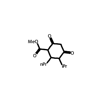 CCCC1C(C(=O)OC)C(=O)CC(=O)C1C(C)C